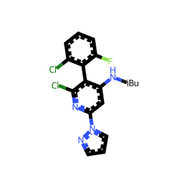 CCC(C)Nc1cc(-n2cccn2)nc(Cl)c1-c1c(F)cccc1Cl